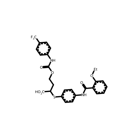 CCOc1ccccc1C(=O)Nc1ccc(SC(CCOC(=O)Nc2ccc(C(F)(F)F)cc2)C(=O)O)cc1